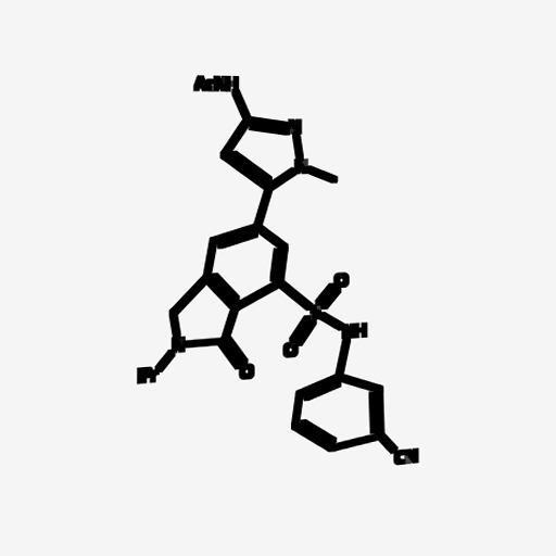 CC(=O)Nc1cc(-c2cc3c(c(S(=O)(=O)Nc4cccc(C#N)c4)c2)C(=O)N(C(C)C)C3)n(C)n1